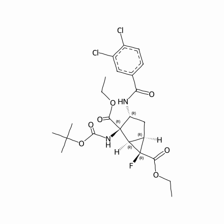 CCOC(=O)[C@@]1(F)[C@@H]2C[C@@H](NC(=O)c3ccc(Cl)c(Cl)c3)[C@@](NC(=O)OC(C)(C)C)(C(=O)OCC)[C@@H]21